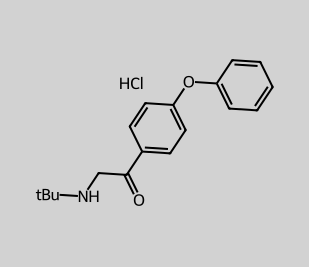 CC(C)(C)NCC(=O)c1ccc(Oc2ccccc2)cc1.Cl